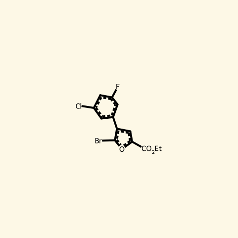 CCOC(=O)c1cc(-c2cc(F)cc(Cl)c2)c(Br)o1